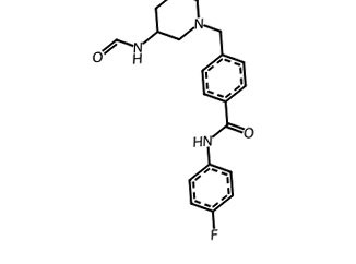 O=CNC1CCCN(Cc2ccc(C(=O)Nc3ccc(F)cc3)cc2)C1